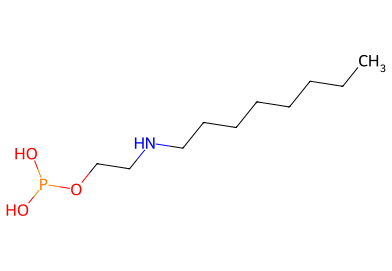 CCCCCCCCNCCOP(O)O